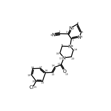 N#Cc1nccnc1N1CCN(C(=O)C=Cc2cccc(Cl)c2)CC1